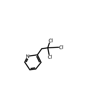 ClC(Cl)(Cl)Cc1ccccn1